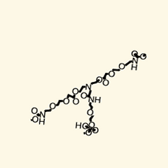 COC(=O)NCCOCCOCC(=O)OCCN(CCOC(=O)COCCOCCNC(=O)OC)CC(=O)NCCOCCOP(=O)(O)OC